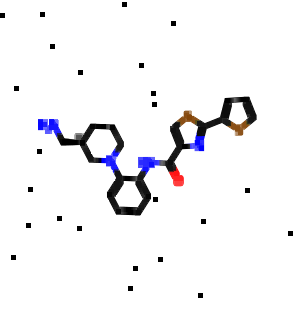 NC[C@H]1CCCN(c2ccccc2NC(=O)c2csc(-c3cccs3)n2)C1